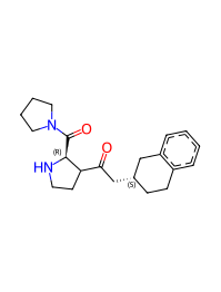 O=C(C[C@H]1CCc2ccccc2C1)C1CCN[C@H]1C(=O)N1CCCC1